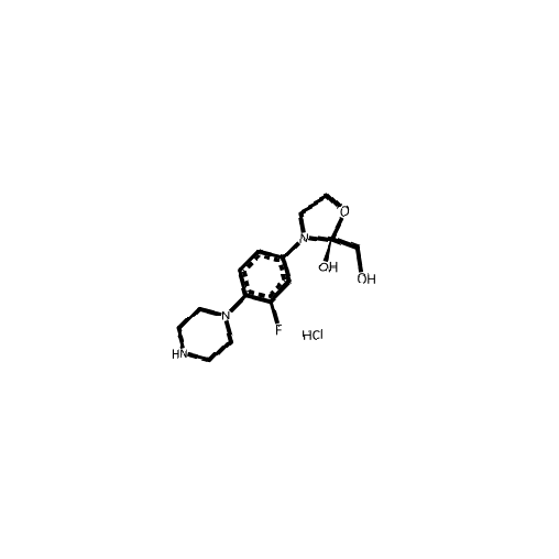 Cl.OC[C@@]1(O)OCCN1c1ccc(N2CCNCC2)c(F)c1